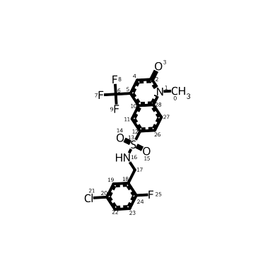 Cn1c(=O)cc(C(F)(F)F)c2cc(S(=O)(=O)NCc3cc(Cl)ccc3F)ccc21